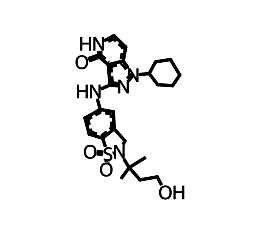 CC(C)(CCO)N1Cc2cc(Nc3nn(C4CCCCC4)c4cc[nH]c(=O)c34)ccc2S1(=O)=O